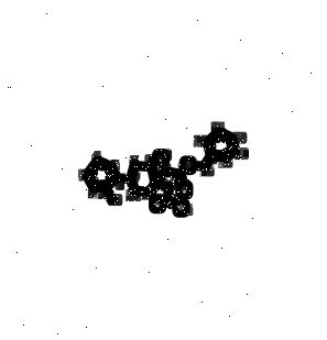 Cc1ccccc1C1CC(=O)C2(CC(=O)OCc3ccccc3)CC(=O)OC2C1